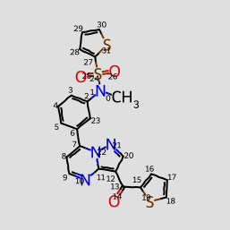 CN(c1cccc(-c2ccnc3c(C(=O)c4cccs4)cnn23)c1)S(=O)(=O)c1cccs1